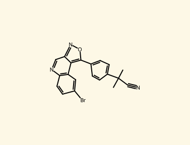 CC(C)(C#N)c1ccc(-c2onc3cnc4ccc(Br)cc4c23)cc1